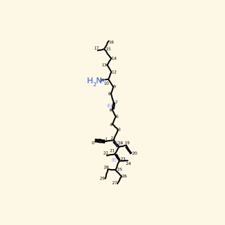 C#C/C(CCC/C=C/CCC(N)CCCC(C)C)=C(C=C)\C(C)=C(/C)C(CC)CC